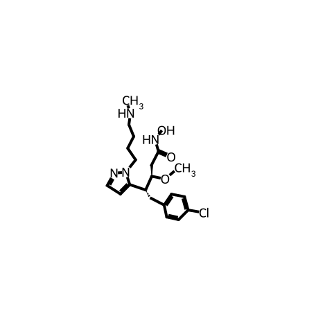 CNCCCCn1nccc1[C@@H](Cc1ccc(Cl)cc1)[C@@H](CC(=O)NO)OC